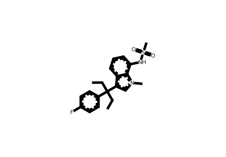 CCC(CC)(c1ccc(F)cc1)c1cn(C)c2c(NS(C)(=O)=O)cccc12